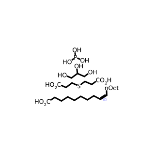 CCCCCCCC/C=C\CCCCCCCC(=O)O.O=C(O)CCSCCC(=O)O.OCC(O)CO.OP(O)O